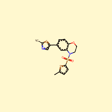 Cc1ccc(S(=O)(=O)N2CCOc3ccc(-c4cnc(C#N)s4)cc32)s1